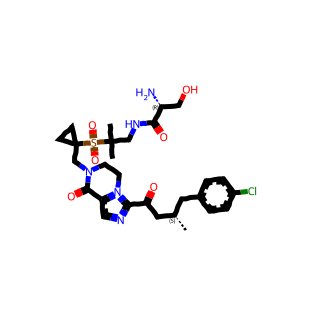 C[C@H](CC(=O)c1ncc2n1CCN(CC1(S(=O)(=O)C(C)(C)CNC(=O)[C@H](N)CO)CC1)C2=O)Cc1ccc(Cl)cc1